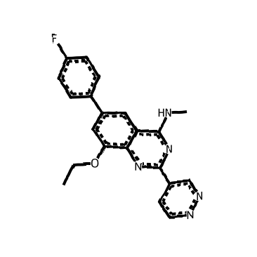 CCOc1cc(-c2ccc(F)cc2)cc2c(NC)nc(-c3ccnnc3)nc12